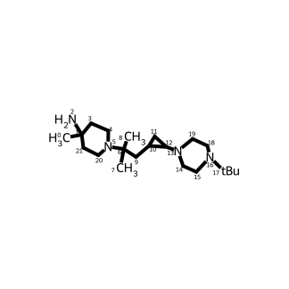 CC1(N)CCN(C(C)(C)CC2CC2N2CCN(C(C)(C)C)CC2)CC1